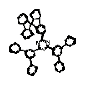 C1=CC2c3ccc(-c4nc(-c5cc(-c6ccccc6)cc(-c6ccccc6)c5)nc(-c5cc(-c6ccccc6)cc(-c6ccccc6)c5)n4)cc3C3(c4ccccc4-c4ccccc43)C2C=C1